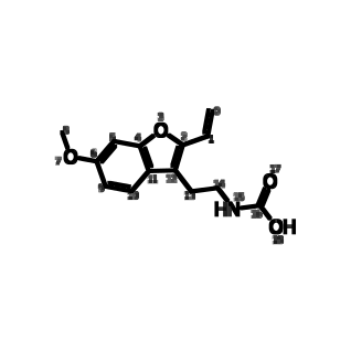 C=Cc1oc2cc(OC)ccc2c1CCNC(=O)O